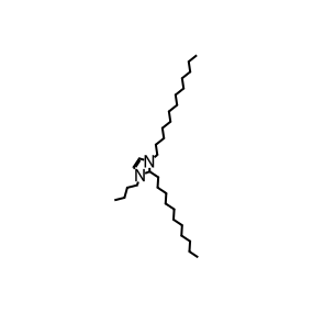 CCCCCCCCCCCCCN1C=CN(CCCC)C1CCCCCCCCCCC